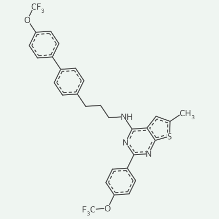 Cc1cc2c(NCCCc3ccc(-c4ccc(OC(F)(F)F)cc4)cc3)nc(-c3ccc(OC(F)(F)F)cc3)nc2s1